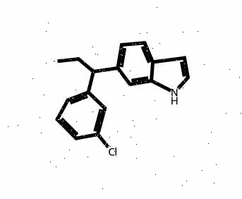 [CH2]CC(c1cccc(Cl)c1)c1ccc2cc[nH]c2c1